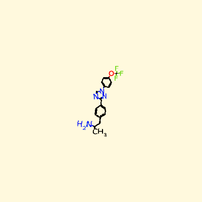 CC(N)Cc1ccc(-c2ncn(-c3ccc(OC(F)(F)F)cc3)n2)cc1